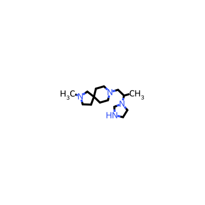 CC(CN1CCC2(CCN(C)C2)CC1)N1CCNC1